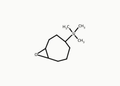 C[Si](C)(C)C1CCCC2OC2CC1